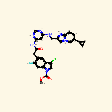 CC(C)(C)OC(=O)n1cc(Cl)c2cc(CC(=O)Nc3cc(NCc4cn5cc(C6CC6)ccc5n4)ncn3)c(F)cc21